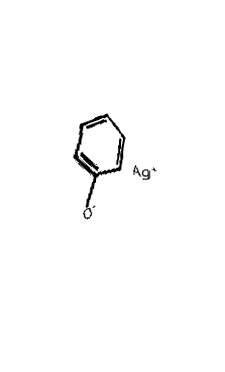 [Ag+].[O-]c1ccccc1